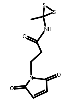 CC1(NC(=O)CCN2C(=O)C=CC2=O)SS1